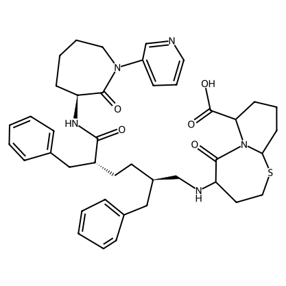 O=C(O)C1CCCC2SCCC(NC[C@H](CC[C@H](Cc3ccccc3)C(=O)N[C@H]3CCCCN(c4cccnc4)C3=O)Cc3ccccc3)C(=O)N21